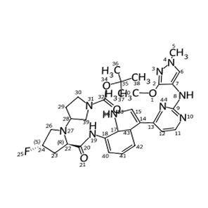 COc1nn(C)cc1Nc1nccc(C2=CNC3C(NC(=O)[C@H]4C[C@H](F)CN4C4CCN(C(=O)OC(C)(C)C)C4)=CC=CC23)n1